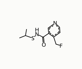 CC(C)SNC(=O)c1cnccc1CF